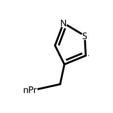 CCCCc1[c]snc1